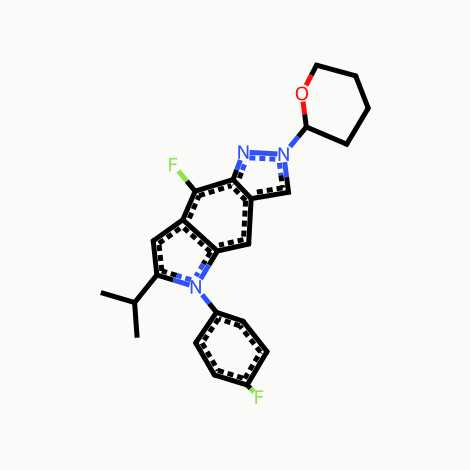 CC(C)c1cc2c(F)c3nn(C4CCCCO4)cc3cc2n1-c1ccc(F)cc1